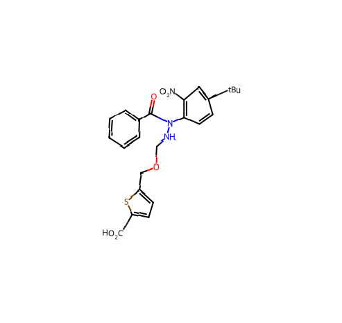 CC(C)(C)c1ccc(N(NCOCc2ccc(C(=O)O)s2)C(=O)c2ccccc2)c([N+](=O)[O-])c1